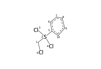 ClCS(Cl)(Cl)c1ccccc1